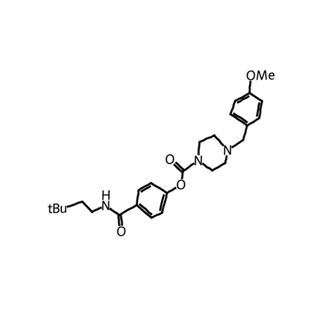 COc1ccc(CN2CCN(C(=O)Oc3ccc(C(=O)NCCC(C)(C)C)cc3)CC2)cc1